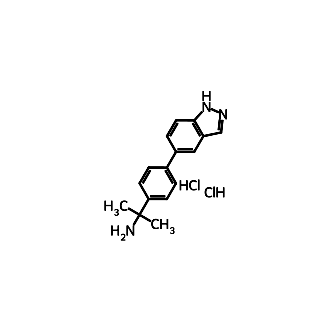 CC(C)(N)c1ccc(-c2ccc3[nH]ncc3c2)cc1.Cl.Cl